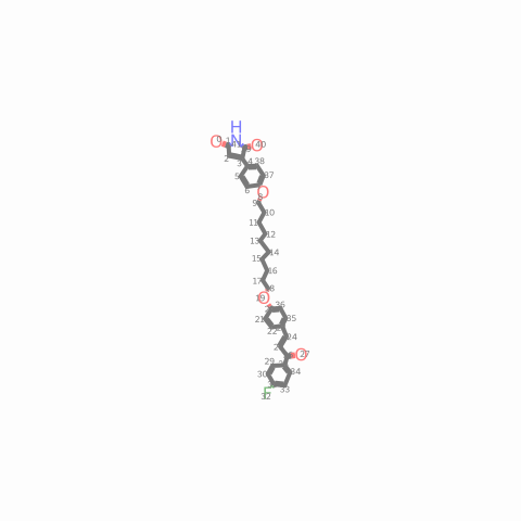 O=C1C=C(c2ccc(OCCCCCCCCCCOc3ccc(C=CC(=O)c4ccc(F)cc4)cc3)cc2)C(=O)N1